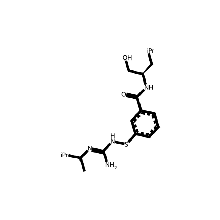 CC(C)C[C@H](CO)NC(=O)c1cccc(SN/C(N)=N/C(C)C(C)C)c1